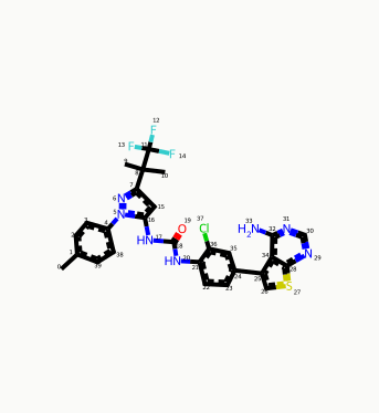 Cc1ccc(-n2nc(C(C)(C)C(F)(F)F)cc2NC(=O)Nc2ccc(-c3csc4ncnc(N)c34)cc2Cl)cc1